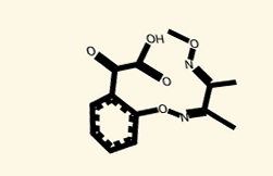 CON=C(C)C(C)=NOc1ccccc1C(=O)C(=O)O